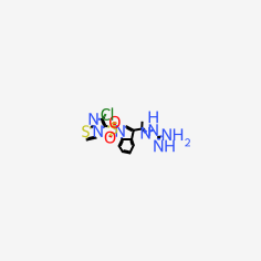 CC(=NNC(=N)N)c1cn(S(=O)(=O)c2c(Cl)nc3sccn23)c2ccccc12